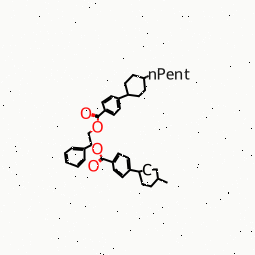 CCCCCC1CCC(c2ccc(C(=O)OCC(OC(=O)c3ccc(C4CCC(C)CC4)cc3)c3ccccc3)cc2)CC1